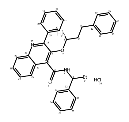 CCC(NC(=O)c1c(OC(N)CCc2ccccc2)c(-c2ccccc2)nc2ccccc12)c1ccccc1.Cl